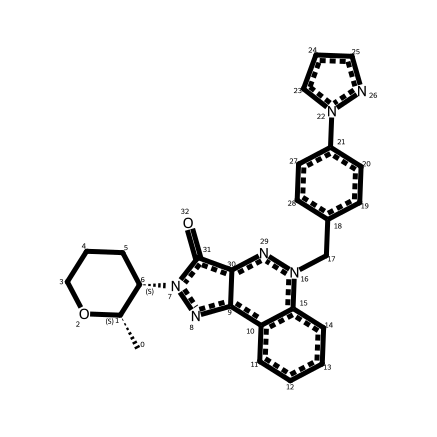 C[C@@H]1OCCC[C@@H]1n1nc2c3ccccc3n(Cc3ccc(-n4cccn4)cc3)nc-2c1=O